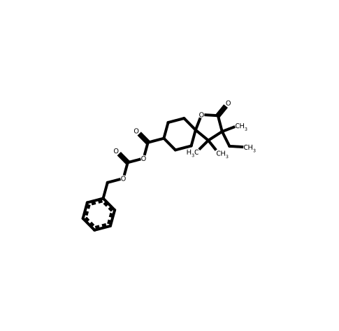 CCC1(C)C(=O)OC2(CCC(C(=O)OC(=O)OCc3ccccc3)CC2)C1(C)C